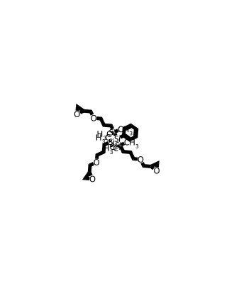 C[Si](C)(CCCOCC1CO1)[Si](c1ccccc1)([Si](C)(C)CCCOCC1CO1)[Si](C)(C)CCCOCC1CO1